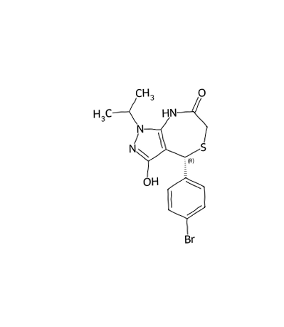 CC(C)n1nc(O)c2c1NC(=O)CS[C@@H]2c1ccc(Br)cc1